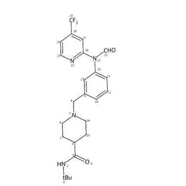 CC(C)(C)NC(=O)C1CCN(Cc2cccc(N(C=O)c3cc(C(F)(F)F)ccn3)c2)CC1